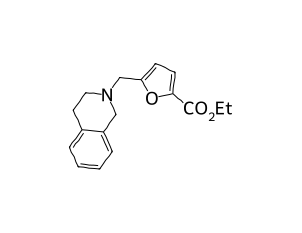 CCOC(=O)c1ccc(CN2CCc3ccccc3C2)o1